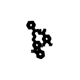 Nc1cc(C(=O)CNC(CCOc2ccc3c(c2)[nH]c2ccccc23)c2ccccc2)ccc1Br